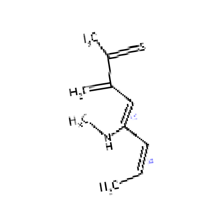 C=C(/C=C(/C=C\C)NC)C(C)=S